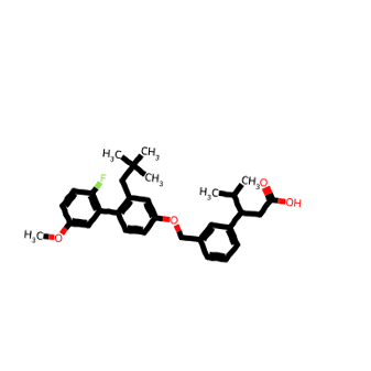 COc1ccc(F)c(-c2ccc(OCc3cccc(C(CC(=O)O)C(C)C)c3)cc2CC(C)(C)C)c1